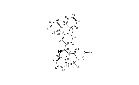 C=C(C)/C(=C/CC)C(=C)n1c(-c2ccc3c4ccccc4c4ccccc4c3c2)nc2ccccc21